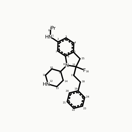 CC(C)Nc1ccc2c(c1)N(C1CCNCC1)C(F)(CCc1ccccc1)C2